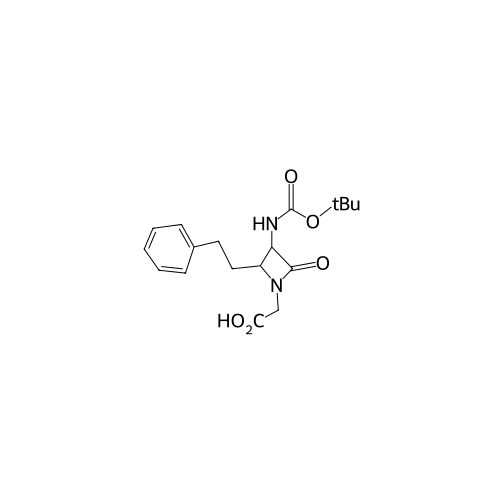 CC(C)(C)OC(=O)NC1C(=O)N(CC(=O)O)C1CCc1ccccc1